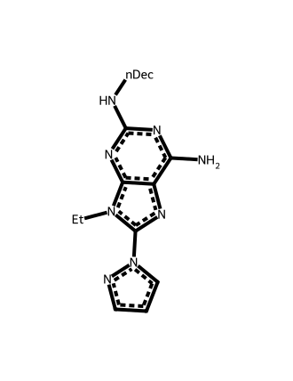 CCCCCCCCCCNc1nc(N)c2nc(-n3cccn3)n(CC)c2n1